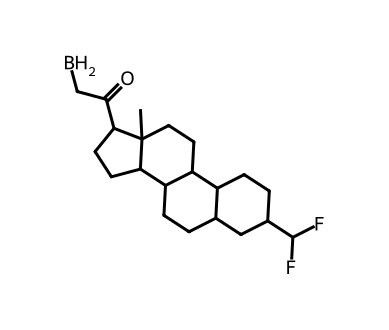 BCC(=O)C1CCC2C3CCC4CC(C(F)F)CCC4C3CCC12C